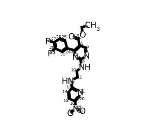 CCOC(=O)c1cnc(NCCNc2ccc([N+](=O)[O-])cn2)nc1-c1ccc(F)c(F)c1